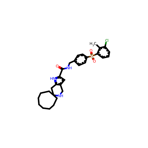 Cc1c(Cl)cccc1S(=O)(=O)c1ccc(CNC(=O)c2cc3c([nH]2)CC2(CCCCCCCC2)NC3)cc1